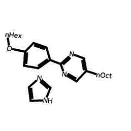 CCCCCCCCc1cnc(-c2ccc(OCCCCCC)cc2)nc1.c1c[nH]cn1